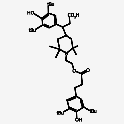 CC(C)(C)c1cc(CCC(=O)OCCN2C(C)(C)CC(C(CC(=O)O)c3cc(C(C)(C)C)c(O)c(C(C)(C)C)c3)CC2(C)C)cc(C(C)(C)C)c1O